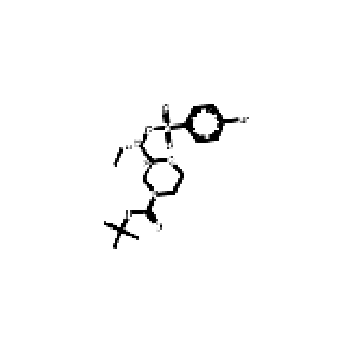 CC[C@H](OS(=O)(=O)c1ccc(Br)cc1)[C@@H]1CN(C(=O)OC(C)(C)C)CCO1